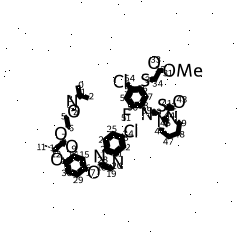 CC(C)=NOCCOC(=O)[C@@H](C)Oc1ccc(Oc2cnc3cc(Cl)ccc3n2)cc1.COC(=O)CSc1cc(/N=c2\sc(=O)n3n2CCCC3)c(F)cc1Cl